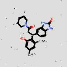 COc1cc(O)c(C(CC(=O)N2C[C@H](C)C[C@H](C)C2)c2ccc3[nH]c(=O)[nH]c3c2)c(OC)c1